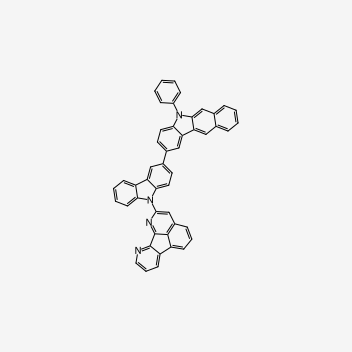 c1ccc(-n2c3ccc(-c4ccc5c(c4)c4ccccc4n5-c4cc5cccc6c5c(n4)-c4ncccc4-6)cc3c3cc4ccccc4cc32)cc1